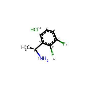 C[C@H](N)c1cccc(F)c1F.Cl